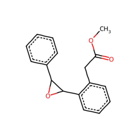 COC(=O)Cc1ccccc1C1OC1c1ccccc1